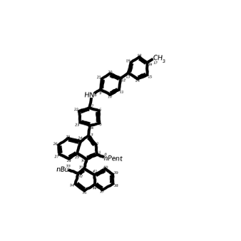 CCCCCc1cc(-c2ccc(Nc3ccc(-c4ccc(C)cc4)cc3)cc2)c2ccccc2c1-c1c(CCCC)ccc2ccccc12